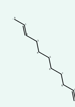 [CH2]C=CCCCCCCC=C